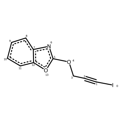 IC#CCOc1nc2ccccc2o1